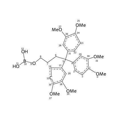 COc1ccc(C(CCCOB(O)O)(c2ccc(OC)c(OC)c2)c2ccc(OC)c(OC)c2)cc1OC